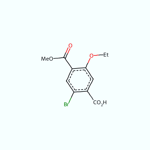 CCOc1cc(C(=O)O)c(Br)cc1C(=O)OC